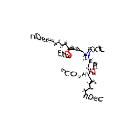 CC(=O)O.CCCCCCCCCCCCCCCC(CCN(CCCCCCCC)CCC(CCCCCCCCCCCCCCC)OCC)OCC